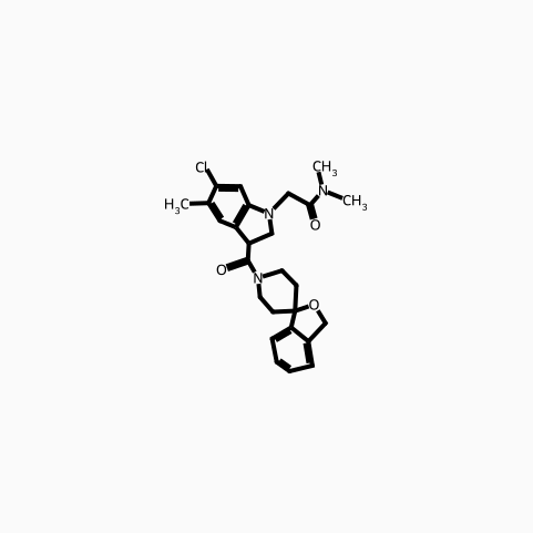 Cc1cc2c(cc1Cl)N(CC(=O)N(C)C)CC2C(=O)N1CCC2(CC1)OCc1ccccc12